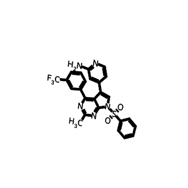 Cc1nc(-c2cccc(C(F)(F)F)c2)c2c(-c3ccnc(N)c3)cn(S(=O)(=O)c3ccccc3)c2n1